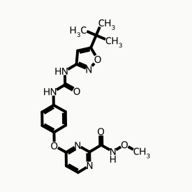 CONC(=O)c1nccc(Oc2ccc(NC(=O)Nc3cc(C(C)(C)C)on3)cc2)n1